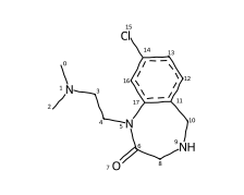 CN(C)CCN1C(=O)CNCc2ccc(Cl)cc21